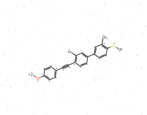 CCc1cc(-c2ccc(SC#N)c(C)c2)ccc1C#Cc1ccc(OC(F)(F)F)cc1